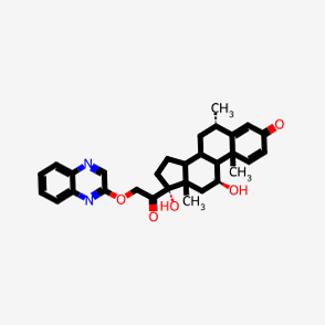 C[C@H]1CC2C([C@@H](O)CC3(C)C2CC[C@]3(O)C(=O)COc2cnc3ccccc3n2)C2(C)C=CC(=O)C=C12